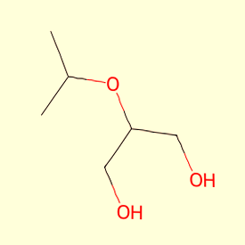 CC(C)OC(CO)CO